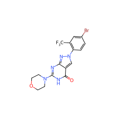 O=c1[nH]c(N2CCOCC2)nc2nn(-c3ccc(Br)cc3C(F)(F)F)cc12